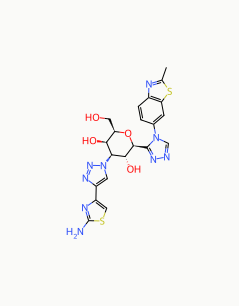 Cc1nc2ccc(-n3cnnc3[C@@H]3O[C@H](CO)[C@H](O)[C@H](n4cc(-c5csc(N)n5)nn4)[C@H]3O)cc2s1